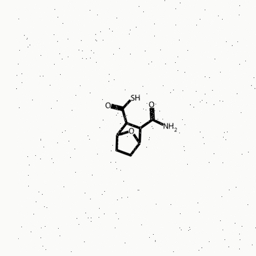 NC(=O)C1C2CCC(O2)C1C(=O)S